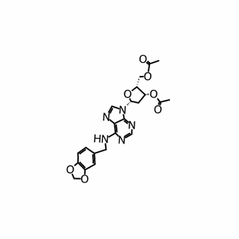 CC(=O)OC[C@H]1O[C@@H](n2cnc3c(NCc4ccc5c(c4)OCO5)ncnc32)C[C@H]1OC(C)=O